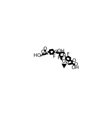 O=C(O)c1cn(C2CC2)c2c3c(c(F)cc2c1=O)N1CCC(O)(COc2ccc(N4C[C@H](CO)OC4=O)cc2F)C[C@H]1CO3